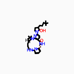 CC(C)(C)CCCC1CCN(c2ccc3c(n2)N2C[C@@H](CCCNc4cccc(n4)SNC3=O)CC2(C)C)C1O